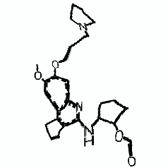 COc1cc2c3c(c(NC4CCCC4OC=O)nc2cc1OCCCN1CCCC1)CCC3